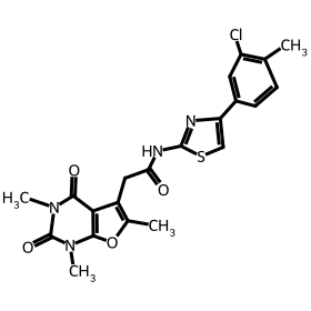 Cc1ccc(-c2csc(NC(=O)Cc3c(C)oc4c3c(=O)n(C)c(=O)n4C)n2)cc1Cl